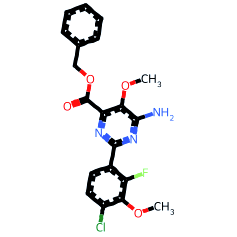 COc1c(N)nc(-c2ccc(Cl)c(OC)c2F)nc1C(=O)OCc1ccccc1